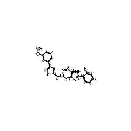 CCCOc1cccc(-c2cc(CN3Cc4nc(-c5ccccc5F)[nH]c4C=N3)on2)c1